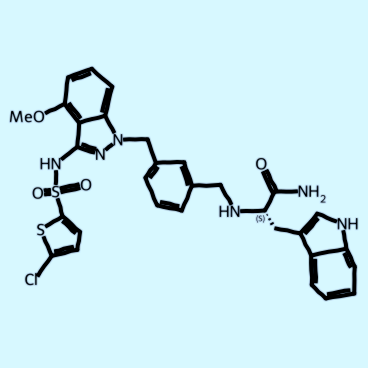 COc1cccc2c1c(NS(=O)(=O)c1ccc(Cl)s1)nn2Cc1cccc(CN[C@@H](Cc2c[nH]c3ccccc23)C(N)=O)c1